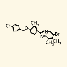 Cc1cc(-c2cn3cc(Br)c(C)c(C)c3n2)ccc1OCc1ccc(Cl)cc1